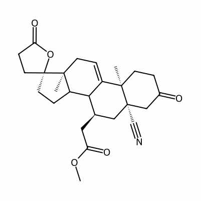 COC(=O)C[C@@H]1C[C@]2(C#N)CC(=O)CC[C@]2(C)C2=CC[C@@]3(C)C(CC[C@@]34CCC(=O)O4)C21